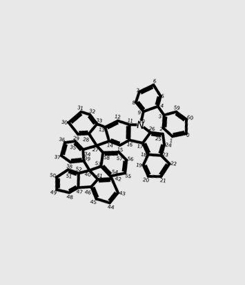 c1ccc(-c2ccccc2-n2c3cc4c(cc3c3c5ccccc5ccc32)C2(c3ccccc3-4)c3ccccc3C3(c4ccccc4-c4ccccc43)c3ccccc32)cc1